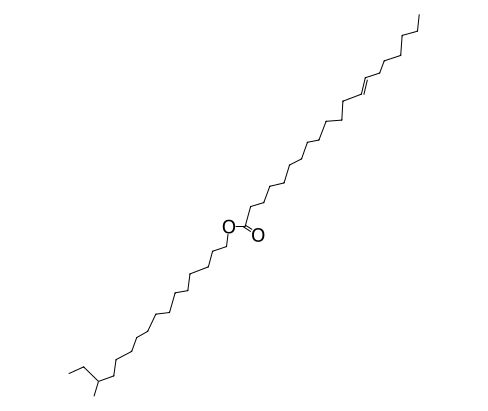 CCCCCCC=CCCCCCCCCCCCC(=O)OCCCCCCCCCCCCCC(C)CC